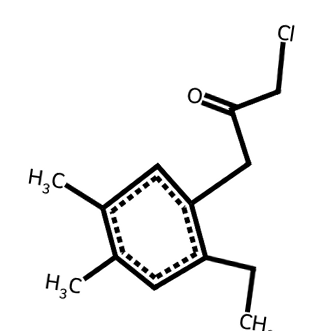 CCc1cc(C)c(C)cc1CC(=O)CCl